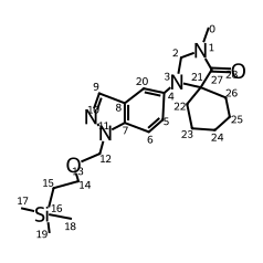 CN1CN(c2ccc3c(cnn3COCC[Si](C)(C)C)c2)C2(CCCCC2)C1=O